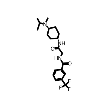 CC(C)N(C)[C@H]1CC[C@H](NC(=O)CNC(=O)c2cccc(C(F)(F)F)c2)CC1